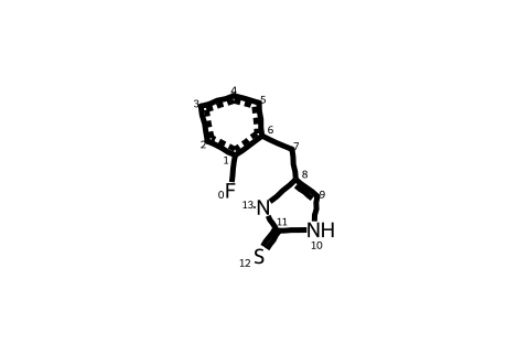 Fc1ccccc1CC1=CNC(=S)[N]1